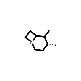 CC1C2CCN2CC[C@H]1C